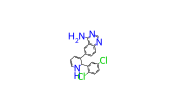 Nc1ncnc2ccc(C3=CC=CNC3c3cc(Cl)ccc3Cl)cc12